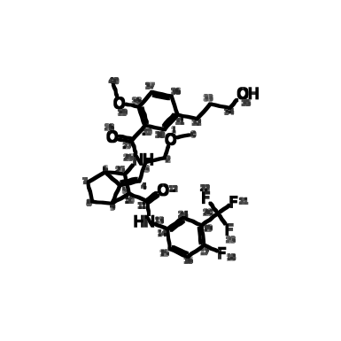 COCC/C=C1\C2CCC1C(C(=O)Nc1ccc(F)c(C(F)(F)F)c1)C2NC(=O)c1cc(CCCO)ccc1OC